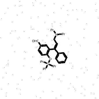 CC(C)N(CC=C(c1ccccc1)c1cc(C=O)ccc1O[Si](C(C)C)(C(C)C)C(C)C)C(C)C